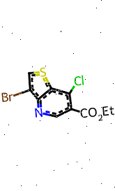 CCOC(=O)c1cnc2c(Br)csc2c1Cl